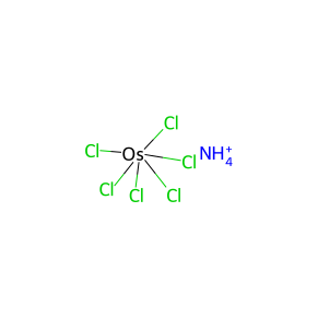 [Cl][Os]([Cl])([Cl])([Cl])([Cl])[Cl].[NH4+]